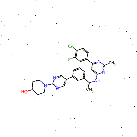 Cc1nc(NC(C)c2cccc(-c3cnc(N4CCC(O)CC4)nc3)c2)cc(-c2ccc(Cl)c(F)c2)n1